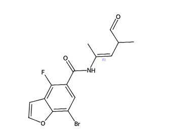 C/C(=C\C(C)C=O)NC(=O)c1cc(Br)c2occc2c1F